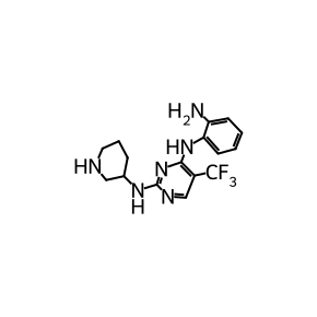 Nc1ccccc1Nc1nc(NC2CCCNC2)ncc1C(F)(F)F